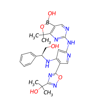 CC(C)(O)c1noc(-c2cnc(Nc3ncc4c(n3)C(C)(C)OB4O)cc2N[C@H](CO)c2ccccc2)n1